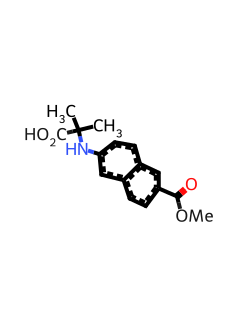 COC(=O)c1ccc2cc(NC(C)(C)C(=O)O)ccc2c1